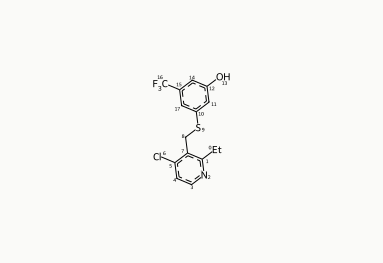 CCc1nccc(Cl)c1CSc1cc(O)cc(C(F)(F)F)c1